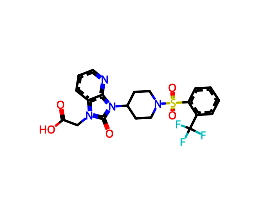 O=C(O)Cn1c(=O)n(C2CCN(S(=O)(=O)c3ccccc3C(F)(F)F)CC2)c2ncccc21